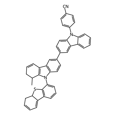 CC1CC=Cc2c1n(-c1cccc3c1SC1CC=CC=C31)c1ccc(-c3ccc4c(c3)c3ccccc3n4-c3ccc(C#N)cc3)cc21